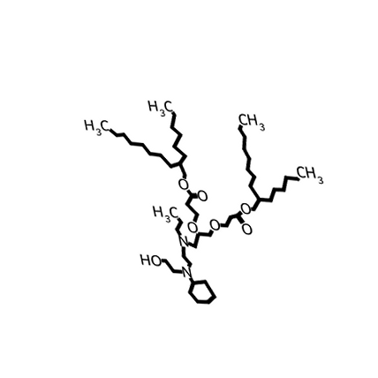 CCCCCCCCC(CCCCCC)COC(=O)CCOCC(CN(CCC)CCN(CCO)C1CCCCC1)OCCC(=O)OCC(CCCCCC)CCCCCCCC